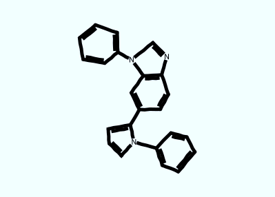 c1ccc(-n2cccc2-c2ccc3ncn(-c4ccccc4)c3c2)cc1